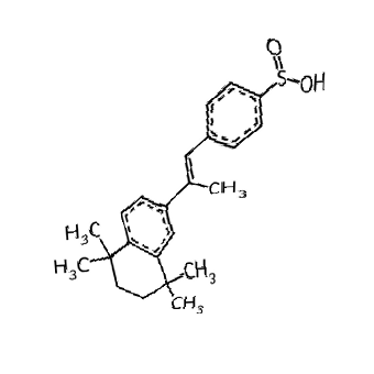 CC(=Cc1ccc(S(=O)O)cc1)c1ccc2c(c1)C(C)(C)CCC2(C)C